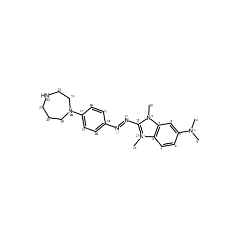 CN(C)c1ccc2c(c1)n(C)c(/N=N/c1ccc(N3CCCNCC3)cc1)[n+]2C